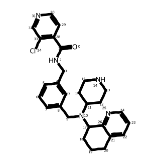 O=C(NCc1cccc(CN(C2CCNCC2)C2CCCc3cccnc32)c1)c1ccncc1Cl